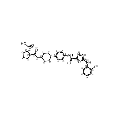 O=C(Nc1ccc([C@H]2CC[C@H](CC(=O)N3CCC[C@@H]3C(=O)O)CC2)cc1)c1nnc(Nc2ccccc2F)o1